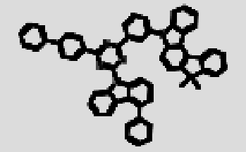 CC1(C)c2ccccc2-c2c1ccc1c2c2ccccc2n1-c1cccc(-c2nc(-c3ccc(-c4ccccc4)cc3)nc(-n3c4ccccc4c4c(-c5ccccc5)cccc43)n2)c1